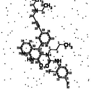 CCCCN(C(=O)Nc1ccc(F)cc1F)c1c(-c2cccc(C#CCN(CC)CC)c2)c2cccnc2[nH]c1=O